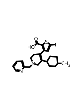 CC1CCC(C2=C(c3cc(I)sc3C(=O)O)CCN(Cc3ccccn3)C2)CC1